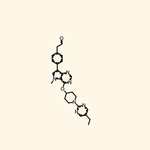 CCc1cnc(N2CCC(Oc3ncnc4c(-c5ccc(CC=O)cc5)cn(C)c34)CC2)nc1